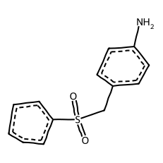 Nc1ccc(CS(=O)(=O)c2ccccc2)cc1